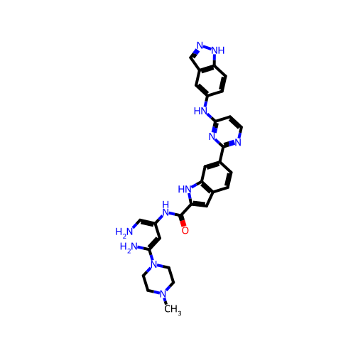 CN1CCN(/C(N)=C/C(=C\N)NC(=O)c2cc3ccc(-c4nccc(Nc5ccc6[nH]ncc6c5)n4)cc3[nH]2)CC1